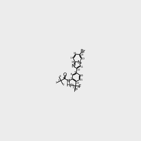 CC(C)(C)C(=O)Nc1cc(-c2cn3cc(Br)ccc3n2)ccc1C(F)(F)F